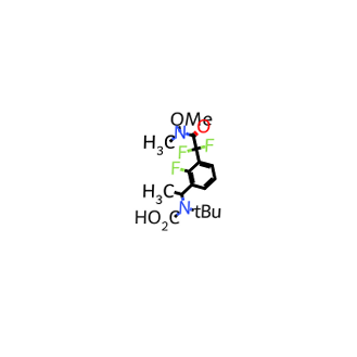 CON(C)C(=O)C(F)(F)c1cccc(C(C)N(C(=O)O)C(C)(C)C)c1F